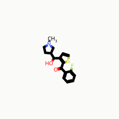 CN1CCC(C(O)c2ccsc2C(=O)c2ccccc2F)C1